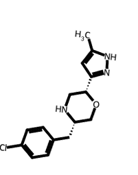 Cc1cc([C@H]2CN[C@@H](Cc3ccc(Cl)cc3)CO2)n[nH]1